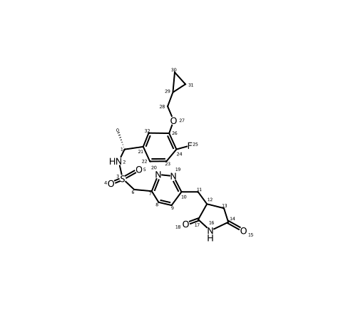 C[C@@H](NS(=O)(=O)Cc1ccc(CC2CC(=O)NC2=O)nn1)c1ccc(F)c(OCC2CC2)c1